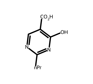 CCCc1ncc(C(=O)O)c(O)n1